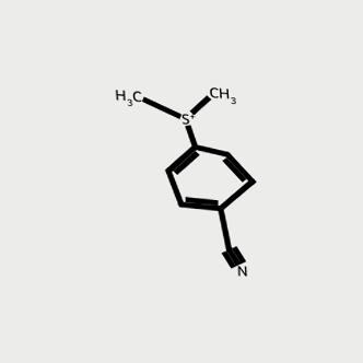 C[S+](C)c1ccc(C#N)cc1